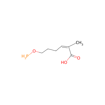 CC(=CCCCOP)C(=O)O